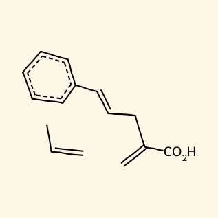 C=C(CC=Cc1ccccc1)C(=O)O.C=CC